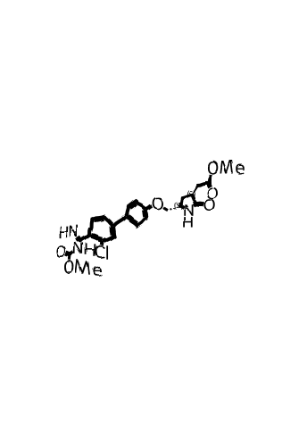 COC(=O)C[C@@H]1C[C@@H](COc2ccc(-c3ccc(C(=N)NC(=O)OC)c(Cl)c3)cc2)NC1=O